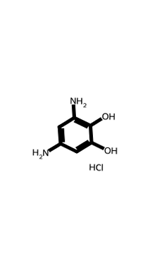 Cl.Nc1cc(N)c(O)c(O)c1